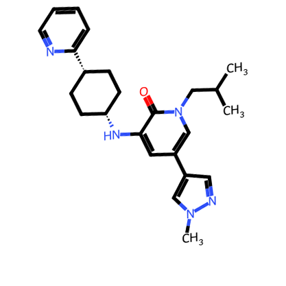 CC(C)Cn1cc(-c2cnn(C)c2)cc(N[C@H]2CC[C@@H](c3ccccn3)CC2)c1=O